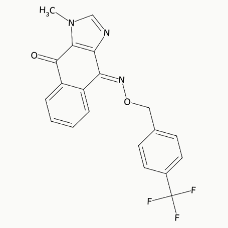 Cn1cnc2c1C(=O)c1ccccc1/C2=N\OCc1ccc(C(F)(F)F)cc1